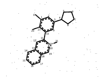 Cc1cc(C2CCCC2)cc(-c2cc3ccccc3c[n+]2C)c1C